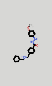 O=C(NNc1ccc(OC(F)(F)F)cc1)c1ccc(CNCc2ccccc2)cc1